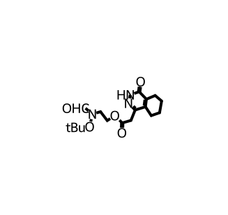 CC(C)(C)ON(C=O)CCOC(=O)Cc1n[nH]c(=O)c2c1CCCC2